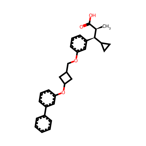 C[C@H](C(=O)O)[C@H](c1cccc(OCC2CC(Oc3cccc(-c4ccccc4)c3)C2)c1)C1CC1